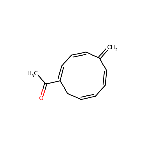 C=C1/C=C\C=C/C/C(C(C)=O)=C\C=C/1